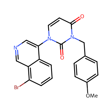 COc1ccc(Cn2c(=O)ccn(-c3cncc4c(Br)cccc34)c2=O)cc1